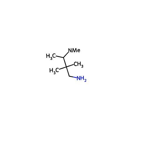 CNC(C)C(C)(C)CN